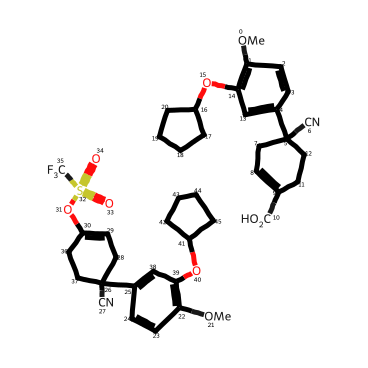 COc1ccc(C2(C#N)CC=C(C(=O)O)CC2)cc1OC1CCCC1.COc1ccc(C2(C#N)CC=C(OS(=O)(=O)C(F)(F)F)CC2)cc1OC1CCCC1